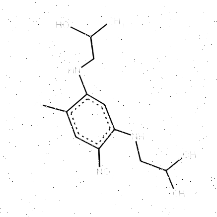 CC(O)CNc1cc(NCC(C)O)c([N+](=O)[O-])cc1Cl